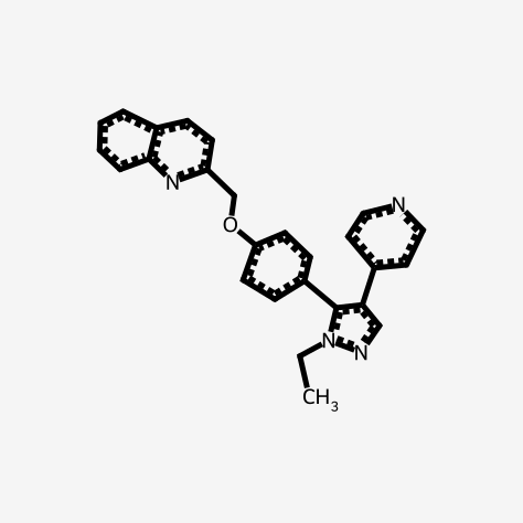 CCn1ncc(-c2ccncc2)c1-c1ccc(OCc2ccc3ccccc3n2)cc1